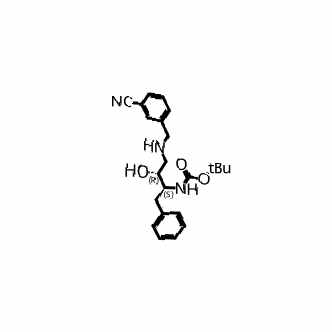 CC(C)(C)OC(=O)N[C@@H](Cc1ccccc1)[C@H](O)CNCc1cccc(C#N)c1